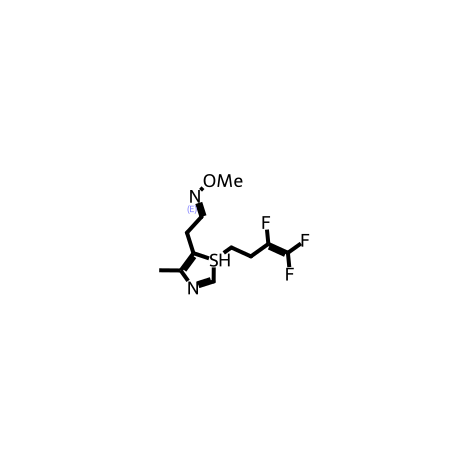 CO/N=C/CC1=C(C)N=C[SH]1CCC(F)=C(F)F